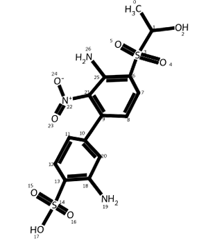 CC(O)S(=O)(=O)c1ccc(-c2ccc(S(=O)(=O)O)c(N)c2)c([N+](=O)[O-])c1N